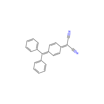 N#CC(C#N)=c1ccc(=C(c2ccccc2)c2ccccc2)cc1